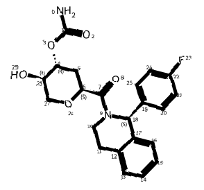 NC(=O)O[C@@H]1C[C@@H](C(=O)N2CCc3ccccc3[C@@H]2c2ccc(F)cc2)OC[C@H]1O